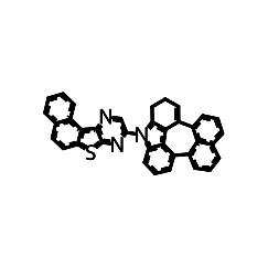 C1=C2c3cccc4cccc(c34)-c3cccc4c3c2c(n4-c2cnc3c(n2)sc2ccc4ccccc4c23)CC1